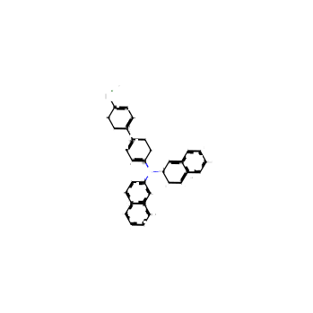 FBC1=CC=C(C2=CC=C(N(c3ccc4ccccc4c3)[C@H]3C=c4ccccc4=CC3)CC2)CC1